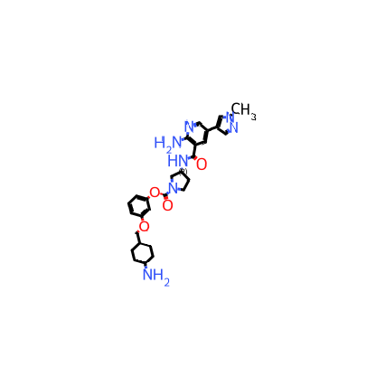 Cn1cc(-c2cnc(N)c(C(=O)N[C@@H]3CCN(C(=O)Oc4cccc(OCC5CCC(N)CC5)c4)C3)c2)cn1